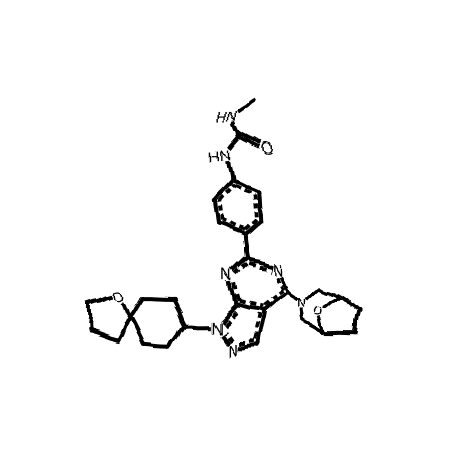 CNC(=O)Nc1ccc(-c2nc(N3CC4CCC(C3)O4)c3cnn(C4CCC5(CCCO5)CC4)c3n2)cc1